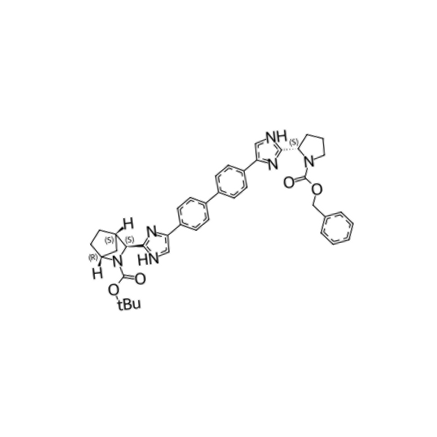 CC(C)(C)OC(=O)N1[C@@H]2CC[C@@H](C2)[C@H]1c1nc(-c2ccc(-c3ccc(-c4c[nH]c([C@@H]5CCCN5C(=O)OCc5ccccc5)n4)cc3)cc2)c[nH]1